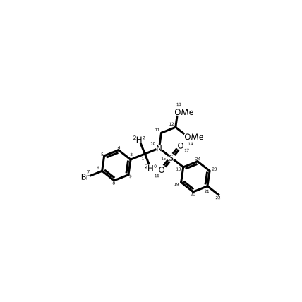 [2H]C([2H])(c1ccc(Br)cc1)N(CC(OC)OC)S(=O)(=O)c1ccc(C)cc1